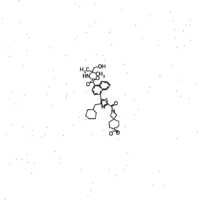 CC(C)(CO)NS(=O)(=O)c1ccc(-c2sc(C(=O)N3CC4(CCS(=O)(=O)CC4)C3)nc2CC2CCCCC2)c2ccccc12